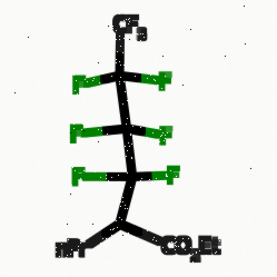 CCCC(C(=O)OCC)C(F)(F)C(F)(F)C(F)(F)C(F)(F)F